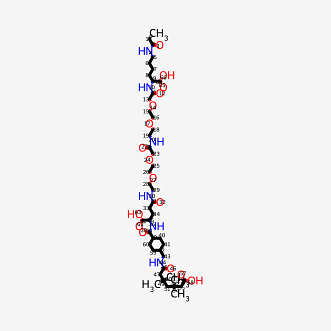 CCC(=O)NCCCCC(NC(=O)COCCOCCNC(=O)COCCOCCNC(=O)CCC(NC(=O)C1CCC(CNC(=O)CC(C)(C)CC(C)(C)CC(=O)O)CC1)C(=O)O)C(=O)O